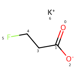 O=C([O-])CCF.[K+]